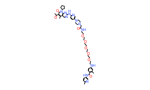 CC(=O)c1c(C)c2cnc(Nc3ccc(N4CCN(CC(=O)NCCOCCOCCOCCOCCOCCNc5ccc(C(=O)Nc6ccc(C)nc6)c(C)c5)CC4)cn3)nc2n(C2CCCC2)c1=O